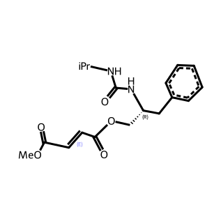 COC(=O)/C=C/C(=O)OC[C@@H](Cc1ccccc1)NC(=O)NC(C)C